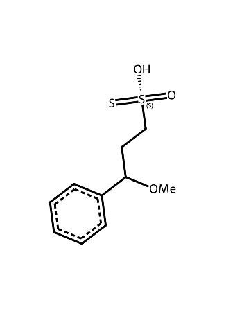 COC(CC[S@@](=O)(O)=S)c1ccccc1